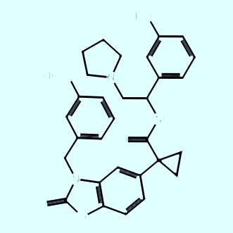 O=C(O)c1cccc(Cn2c(=O)oc3ccc(C4(C(=O)NC(CN5CCCC5)c5cccc(O)c5)CC4)cc32)c1